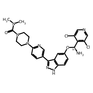 CN(C)C(=O)N1CCN(c2ccc(-c3n[nH]c4ccc(O[C@H](N)c5c(Cl)cncc5Cl)cc34)cn2)CC1